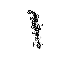 Cc1c(NC(=O)c2ccc(CNCCNC(=O)CCCNC(=O)OC(C)(C)C)cn2)cccc1-c1cccc(NC(=O)c2ccc(CN3CC4(CCOCC4)C3)cn2)c1Cl